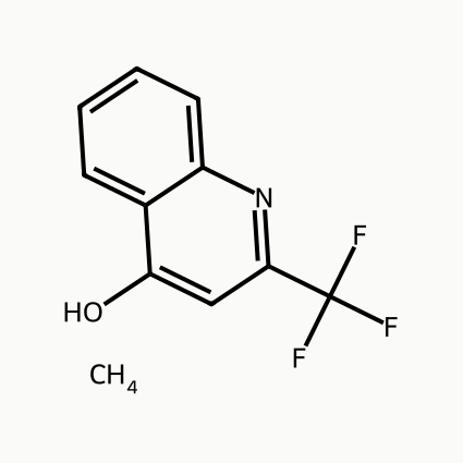 C.Oc1cc(C(F)(F)F)nc2ccccc12